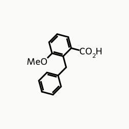 COc1cccc(C(=O)O)c1Cc1ccccc1